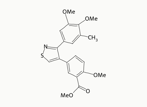 COC(=O)c1cc(-c2csnc2-c2cc(C)c(OC)c(OC)c2)ccc1OC